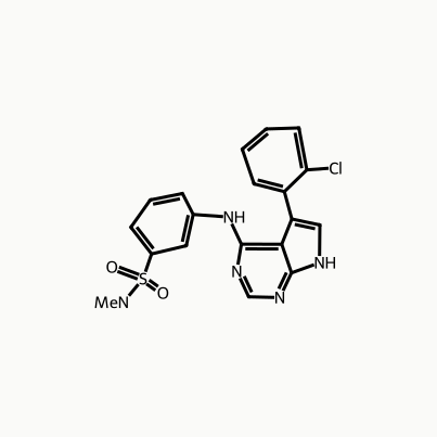 CNS(=O)(=O)c1cccc(Nc2ncnc3[nH]cc(-c4ccccc4Cl)c23)c1